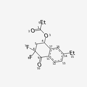 CCC(=O)OC1CC(F)(F)C(=O)c2ccc(CC)cc21